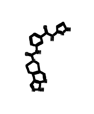 O=C(Nc1cc[nH]n1)c1cccc(NC(=O)N2CCc3c(cnc4[nH]ncc34)C2)c1